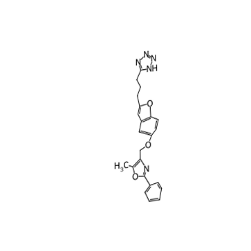 Cc1oc(-c2ccccc2)nc1COc1ccc2oc(CCCc3nnn[nH]3)cc2c1